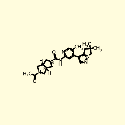 CC(=O)N1C[C@H]2C[C@H](C(=O)Nc3cc(-c4cnn5c4CC(C)(C)C5)c(C)cn3)C[C@H]2C1